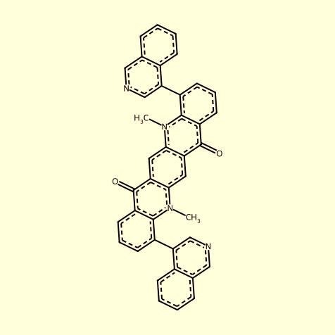 Cn1c2cc3c(=O)c4cccc(-c5cncc6ccccc56)c4n(C)c3cc2c(=O)c2cccc(-c3cncc4ccccc34)c21